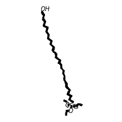 CCO[Si](CCCCCCCCCCCCCCCCCCCCCCCCCCCCCCO)(OCC)OCC